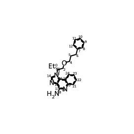 CC[C@H](COCCCc1ccccc1)n1cnc2c(N)nc3ccccc3c21